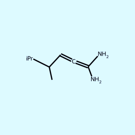 CC(C)C(C)C=C=C(N)N